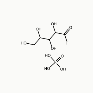 O=C(F)C(O)C(O)C(O)CO.O=P(O)(O)O